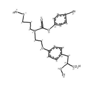 CCCSCCCN(CCOc1ccc(CC(OCC)C(=O)O)cc1)C(=O)Oc1ccc(C(C)C)cc1